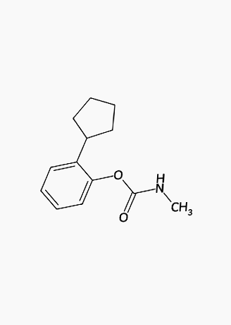 CNC(=O)Oc1ccccc1C1CCCC1